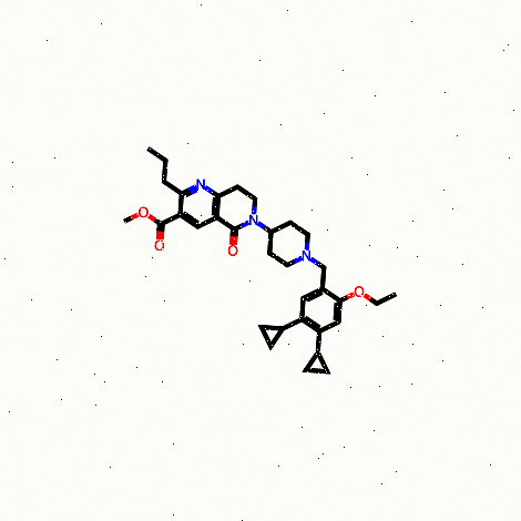 CCCc1nc2c(cc1C(=O)OC)C(=O)N(C1CCN(Cc3cc(C4CC4)c(C4CC4)cc3OCC)CC1)CC2